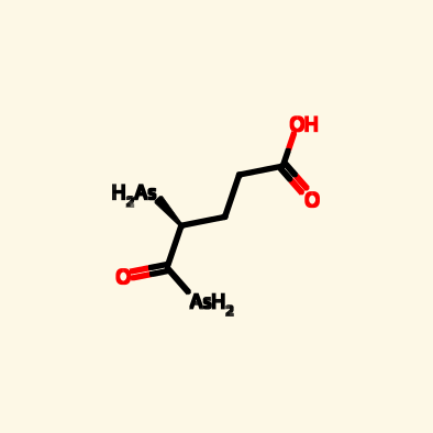 O=C(O)CC[C@H]([AsH2])C(=O)[AsH2]